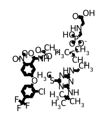 CCNc1nc(NC(C)(C)C)nc(SC)n1.CS(=O)(=O)NC(=O)c1cc(Oc2ccc(C(F)(F)F)cc2Cl)ccc1[N+](=O)[O-].C[S+](C)C.O=C(O)CNCP(=O)([O-])O